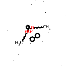 C1CCCC(C2CCCCCCC2)CCC1.CCCCCCCCOC(=O)c1ccccc1C(=O)OCCCCCCCC